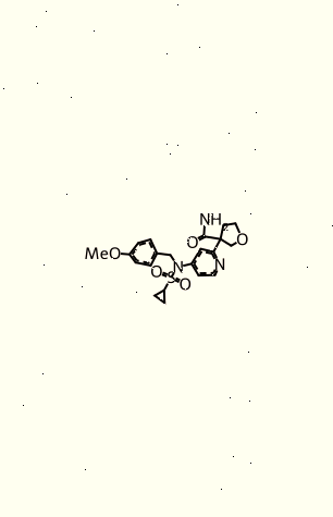 COc1ccc(CN(c2ccnc(C3(C(N)=O)CCOC3)c2)S(=O)(=O)C2CC2)cc1